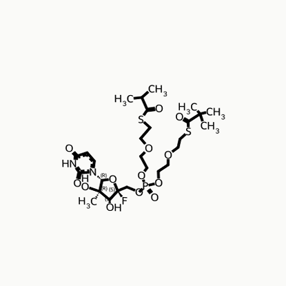 CC(C)C(=O)SCCOCCOP(=O)(OCCOCCSC(=O)C(C)(C)C)OC[C@@]1(F)O[C@@H](n2ccc(=O)[nH]c2=O)[C@](C)(O)[C@@H]1O